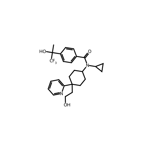 CC(O)(c1ccc(C(=O)N(C2CC2)C2CCC(CCO)(c3ccccn3)CC2)cc1)C(F)(F)F